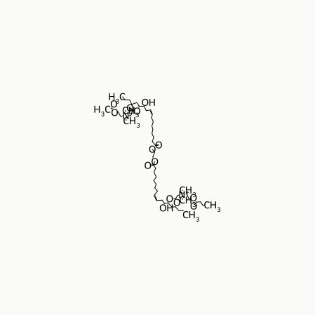 CCCCCC(OC(=O)C[N+](C)(C)CCOC(C)=O)C(O)C/C=C\CCCCCCCC(=O)OCCOC(=O)CCCCCCC/C=C\CC(O)C(CCCCC)OC(=O)C[N+](C)(C)CCOC(=O)CCC